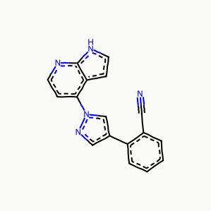 N#Cc1ccccc1-c1cnn(-c2ccnc3[nH]ccc23)c1